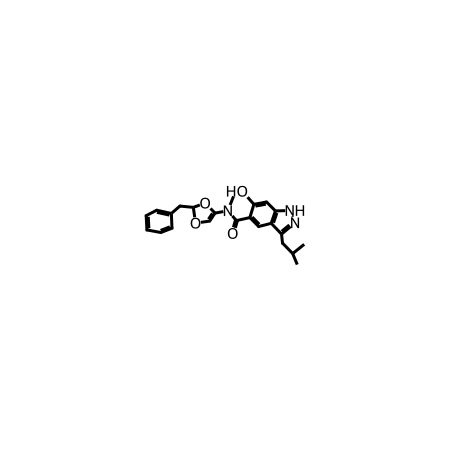 CC(C)Cc1n[nH]c2cc(O)c(C(=O)N(C)C3=COC(Cc4ccccc4)O3)cc12